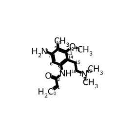 C=CC(=O)Nc1cc(N)c(C)c(OC)c1CCN(C)C